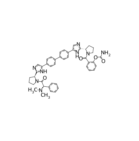 CN(C)[C@@H](C(=O)N1CCC[C@H]1c1ncc(-c2ccc(-c3ccc(-c4cnc([C@@H]5CCCN5C(=O)c5ccccc5OC(N)=O)[nH]4)cc3)cc2)[nH]1)c1ccccc1